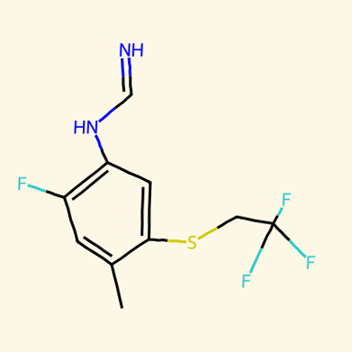 Cc1cc(F)c(NC=N)cc1SCC(F)(F)F